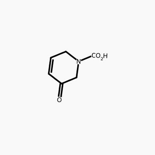 O=C1C=CCN(C(=O)O)C1